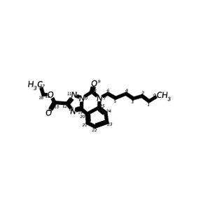 CCCCCCCn1c(=O)n2nc(C(=O)OCC)nc2c2ccccc21